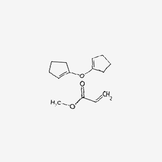 C1=C(OC2=CCCC2)CCC1.C=CC(=O)OC